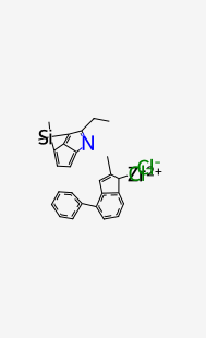 CC1=Cc2c(-c3ccccc3)cccc2[CH]1[Zr+2].CCC1=NC2=CC=C3C2=C1[Si]3(C)C.[Cl-].[Cl-]